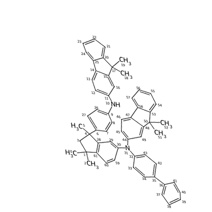 CC1(C)CC(C)(c2ccc(Nc3ccc4c(c3)C(C)(C)c3ccccc3-4)cc2)c2cc(N(c3ccc(-c4ccccc4)cc3)c3ccc4c(c3)C(C)(C)c3ccccc3-4)ccc21